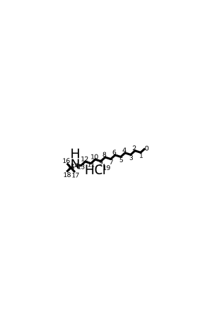 CCCCCCCCCCCCCCNC(C)(C)C.Cl